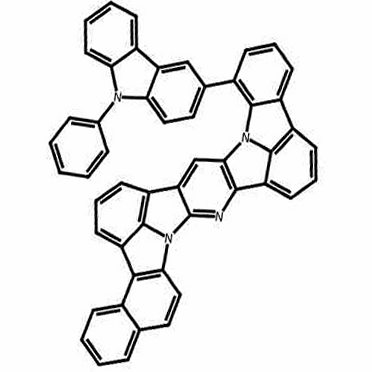 c1ccc(-n2c3ccccc3c3cc(-c4cccc5c6cccc7c8nc9c(cc8n(c45)c67)c4cccc5c6c7ccccc7ccc6n9c45)ccc32)cc1